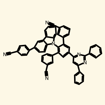 N#Cc1ccc(-c2ccc3c(c2)c2ccccc2n3-c2c(-c3cccc(C#N)c3)cc(-c3cc(-c4ccccc4)nc(-c4ccccc4)n3)cc2-c2cccc(C#N)c2)cc1